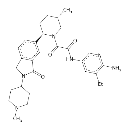 CCc1cc(NC(=O)C(=O)N2C[C@@H](C)CC[C@@H]2c2ccc3c(c2)C(=O)N(C2CCN(C)CC2)C3)cnc1N